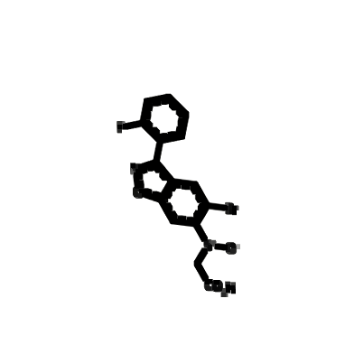 O=C(O)C[S+]([O-])c1cc2onc(-c3ccccc3F)c2cc1Br